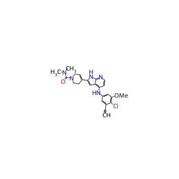 C#Cc1cc(Nc2ccnc3[nH]c(C4=CCN(C(=O)N(C)C)CC4)cc23)cc(OC)c1Cl